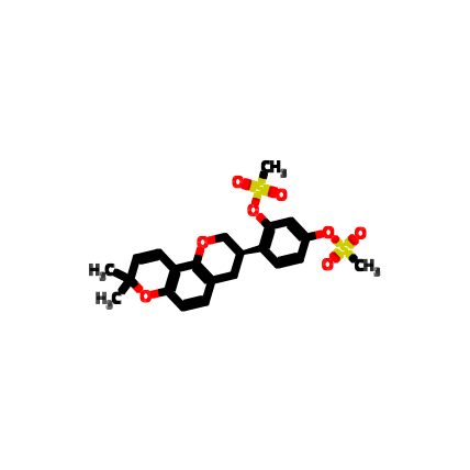 CC1(C)C=Cc2c(ccc3c2OC[C@@H](c2ccc(OS(C)(=O)=O)cc2OS(C)(=O)=O)C3)O1